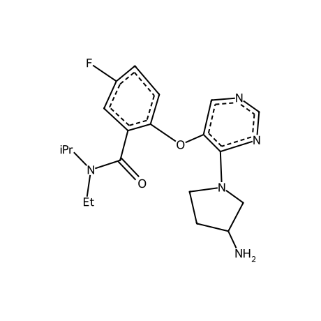 CCN(C(=O)c1cc(F)ccc1Oc1cncnc1N1CCC(N)C1)C(C)C